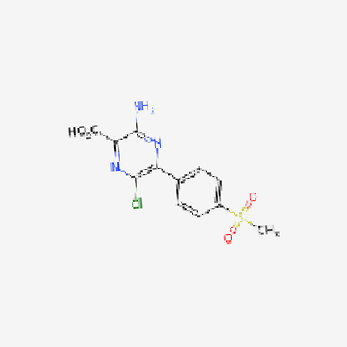 CS(=O)(=O)c1ccc(-c2nc(N)c(C(=O)O)nc2Cl)cc1